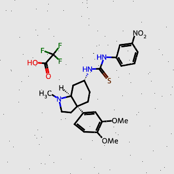 COc1ccc([C@@]23CC[C@@H](NC(=S)Nc4cccc([N+](=O)[O-])c4)C[C@@H]2N(C)CC3)cc1OC.O=C(O)C(F)(F)F